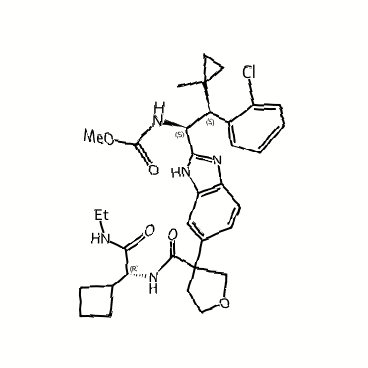 CCNC(=O)[C@H](NC(=O)C1(c2ccc3nc([C@@H](NC(=O)OC)[C@H](c4ccccc4Cl)C4(C)CC4)[nH]c3c2)CCOC1)C1CCC1